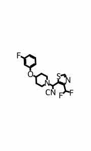 N#CC(c1scnc1C(F)F)N1CCC(Oc2cccc(F)c2)CC1